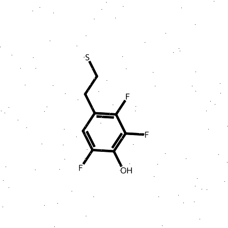 Oc1c(F)cc(CC[S])c(F)c1F